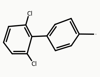 [CH2]c1ccc(-c2c(Cl)cccc2Cl)cc1